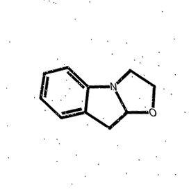 c1ccc2c(c1)CC1OCCN21